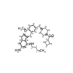 CCCCNc1nc(N)nc2cnn(Cc3cc(CN4CCN(C(=O)C5CCC5)CC4)ccc3OC)c12